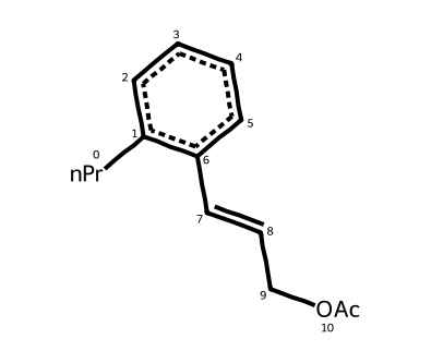 CCCc1ccccc1/C=C/COC(C)=O